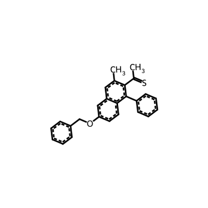 CC(=S)c1c(C)cc2cc(OCc3ccccc3)ccc2c1-c1ccccc1